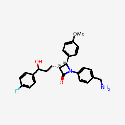 COc1ccc([C@@H]2[C@@H](CCC(O)c3ccc(F)cc3)C(=O)N2c2ccc(CN)cc2)cc1